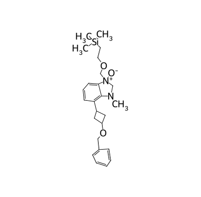 CN1C[N+]([O-])(COCC[Si](C)(C)C)c2cccc(C3CC(OCc4ccccc4)C3)c21